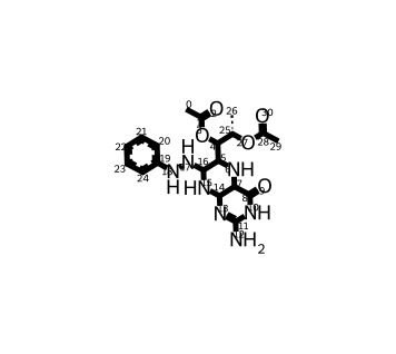 CC(=O)OC(C1NC2C(=O)NC(N)=NC2NC1NNc1ccccc1)[C@H](C)OC(C)=O